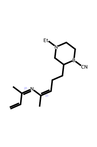 C=C/C(C)=N\C(C)=C/CCC1CN(CC)CCB1C#N